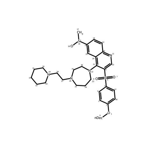 CCCCCCCCCCOc1ccc(S(=O)(=O)c2cnc3ccc([S+](C)[O-])cc3c2N2CCCN(CCN3CCCCC3)CC2)cc1